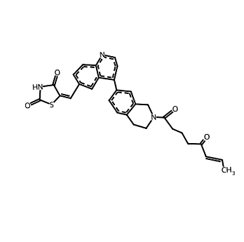 CC=CC(=O)CCCC(=O)N1CCc2ccc(-c3ccnc4ccc(C=C5SC(=O)NC5=O)cc34)cc2C1